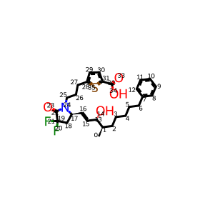 C[C@H](CCCCCc1ccccc1)[C@@H](O)C=C[C@H]1CC(F)(F)C(=O)N1CCCc1ccc(C(=O)O)s1